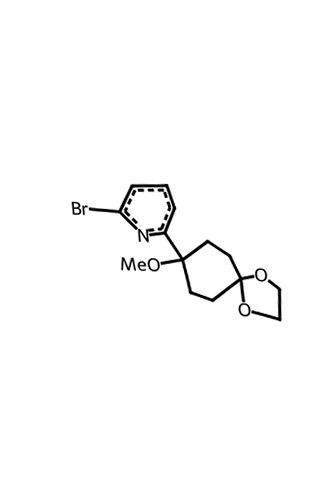 COC1(c2cccc(Br)n2)CCC2(CC1)OCCO2